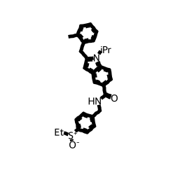 CC[S+]([O-])c1ccc(CNC(=O)c2ccc3c(c2)cc(Cc2ccccc2C)n3C(C)C)cc1